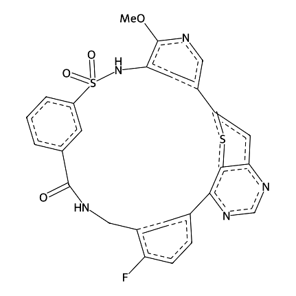 COc1ncc2cc1NS(=O)(=O)c1cccc(c1)C(=O)NCc1cc(ccc1F)-c1ncnc3cc-2sc13